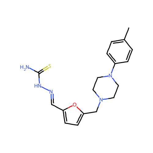 Cc1ccc(N2CCN(Cc3ccc(C=NNC(N)=S)o3)CC2)cc1